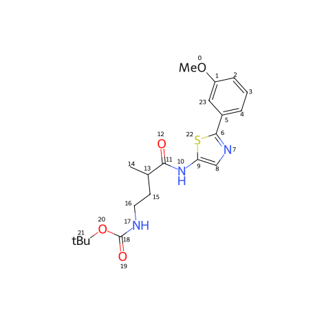 COc1cccc(-c2ncc(NC(=O)C(C)CCNC(=O)OC(C)(C)C)s2)c1